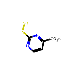 O=C(O)c1ccnc(SS)n1